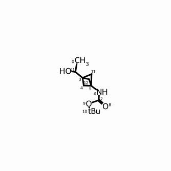 CC(O)C12CC(NC(=O)OC(C)(C)C)(C1)C2